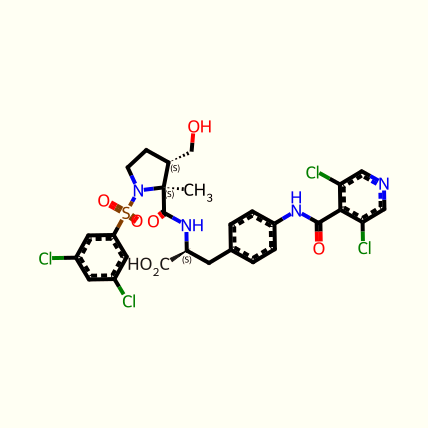 C[C@@]1(C(=O)N[C@@H](Cc2ccc(NC(=O)c3c(Cl)cncc3Cl)cc2)C(=O)O)[C@@H](CO)CCN1S(=O)(=O)c1cc(Cl)cc(Cl)c1